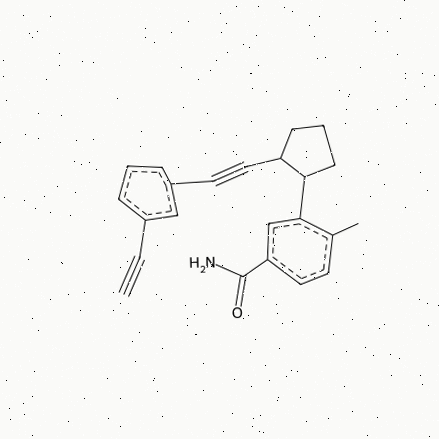 C#Cc1cccc(C#CC2CCCC2c2cc(C(N)=O)ccc2C)c1